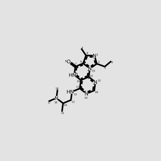 CCc1nc(C)c2c(=O)[nH]c3c(NCC(C)N(C)C)ncnc3n12